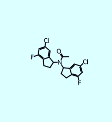 CC(=O)N(C1CCc2c(F)cc(Cl)cc21)C1CCc2c(F)cc(Cl)cc21